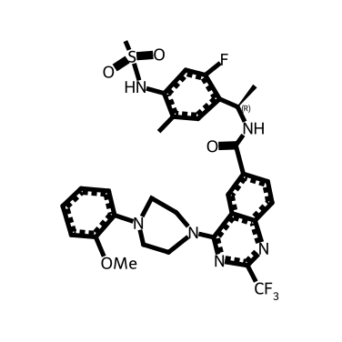 COc1ccccc1N1CCN(c2nc(C(F)(F)F)nc3ccc(C(=O)N[C@H](C)c4cc(C)c(NS(C)(=O)=O)cc4F)cc23)CC1